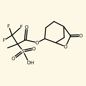 CC(C(=O)OC1CCC2CC1OC2=O)(C(F)(F)F)S(=O)(=O)O